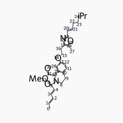 CC=CC=CC(=O)N1CCc2ccc(OCCc3nc(/C=C/CCC(C)C)oc3C)cc2C1C(=O)OC